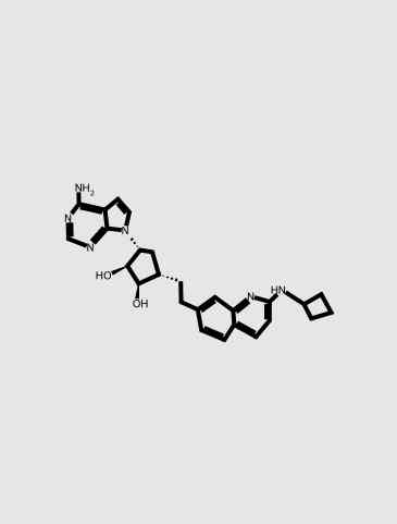 Nc1ncnc2c1ccn2[C@@H]1C[C@H](CCc2ccc3ccc(NC4CCC4)nc3c2)[C@@H](O)[C@H]1O